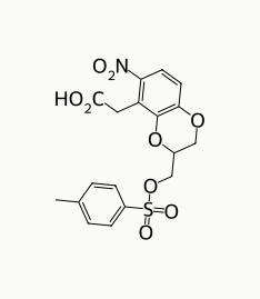 Cc1ccc(S(=O)(=O)OCC2COc3ccc([N+](=O)[O-])c(CC(=O)O)c3O2)cc1